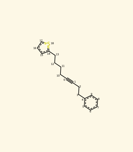 C(#CCCc1ccccc1)CCCCc1cccs1